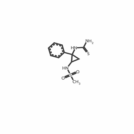 CS(=O)(=O)NC1CC1(NC(N)=S)c1ccccc1